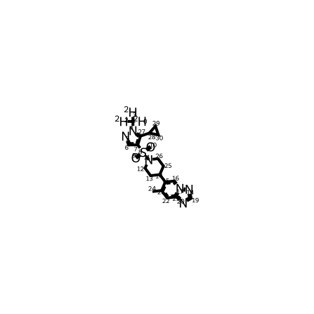 [2H]C([2H])([2H])n1ncc(S(=O)(=O)N2CCC(c3cn4ncnc4cc3C)CC2)c1C1CC1